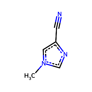 Cn1cnc(C#N)c1